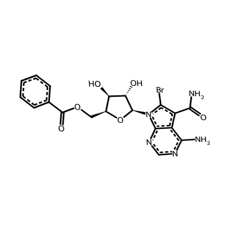 NC(=O)c1c(Br)n([C@H]2O[C@@H](COC(=O)c3ccccc3)[C@@H](O)[C@@H]2O)c2ncnc(N)c12